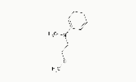 COCCN(C)C1=C[CH]CC=C1